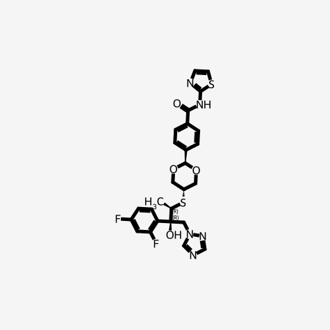 C[C@@H](S[C@H]1CO[C@H](c2ccc(C(=O)Nc3nccs3)cc2)OC1)[C@](O)(Cn1cncn1)c1ccc(F)cc1F